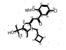 CCC(C)(O)C1=C(C)N(CC2CCC2)C(=CC(=O)c2cc(Cl)ccc2OC)S1